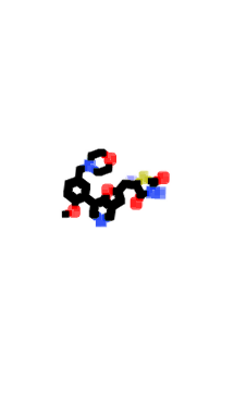 COc1ccc(CN2CCOCC2)cc1-c1cncc2cc(/C=C3/SC(=O)NC3=O)oc12